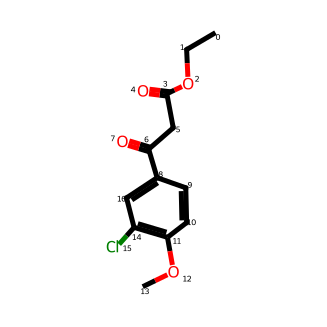 CCOC(=O)CC(=O)c1ccc(OC)c(Cl)c1